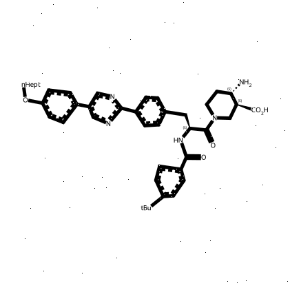 CCCCCCCOc1ccc(-c2cnc(-c3ccc(C[C@H](NC(=O)c4ccc(C(C)(C)C)cc4)C(=O)N4CC[C@H](N)[C@@H](C(=O)O)C4)cc3)nc2)cc1